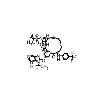 CC(C)n1c(O[C@@H]2C[C@H]3C(=O)N[C@]4(C(=O)NS(=O)(=O)C5(C)CC5)C[C@H]4/C=C\CCCCC[C@H](Nc4ccc(C(F)(F)F)cc4)C(=O)N3C2)nc2cncnc21